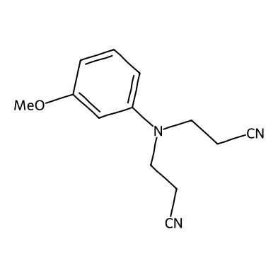 COc1cccc(N(CCC#N)CCC#N)c1